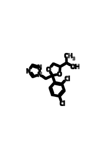 CC(O)C1COC(Cn2cncn2)(c2ccc(Cl)cc2Cl)O1